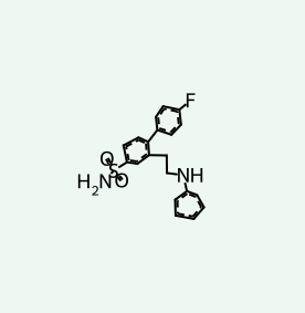 NS(=O)(=O)c1ccc(-c2ccc(F)cc2)c(CCNc2ccccc2)c1